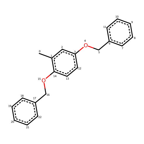 Cc1cc(OCc2ccccc2)[c]cc1OCc1ccccc1